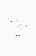 CCCC/C(S)=C(\C)[C@H](C)CCC(C)/C(=C/C/C=C(/C)[C@H]1C=C(C)[C@](C)([C@H]2C=CCCC2)NC1)C(C)C(C)C(CC)CCCC